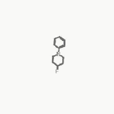 FC1CCN(c2ccccc2)CC1